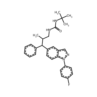 CC(CNC(=O)NC(C)(C)C)C(c1ccccc1)c1ccc2c(cnn2-c2ccc(F)cc2)c1